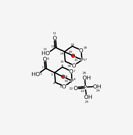 O=C(O)C12COP(OC1)OC2.O=C(O)C12COP(OC1)OC2.O=P(O)(O)O